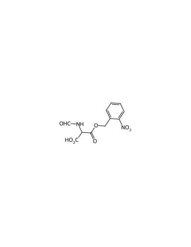 O=CNC(C(=O)O)C(=O)OCc1ccccc1[N+](=O)[O-]